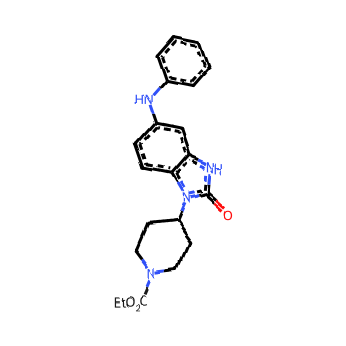 CCOC(=O)N1CCC(n2c(=O)[nH]c3cc(Nc4ccccc4)ccc32)CC1